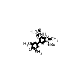 CCCCn1c(C)nc2c(NS(C)(=O)=O)cc(-c3cc(C)c(=O)n(C)c3)cc21